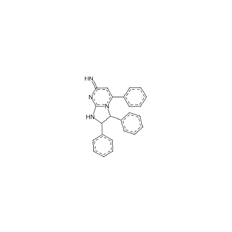 N=c1cc(-c2ccccc2)n2c(n1)NC(c1ccccc1)C2c1ccccc1